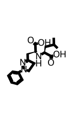 CC(C)C[C@H](N[C@@H](CC1=NN(c2ccccc2)CC1)C(=O)O)C(=O)O